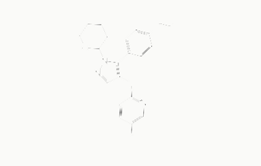 ClCc1ccc(-c2c(Sc3ccc(Cl)cn3)cnn2C2CCCCO2)cc1